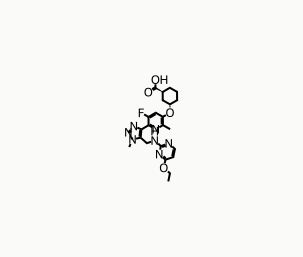 CCOc1ccnc(NCc2c(-c3nc(C)c(O[C@H]4CCC[C@H](C(=O)O)C4)cc3F)nnn2C)n1